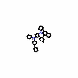 C=C/C=C(\C=C/C)c1c2ccccc2cc2c3ccccc3n(-c3ccc(N(c4ccccc4)c4ccc(-c5ccccc5)cc4)cc3)c12